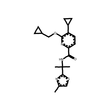 Cc1csc(C(C)(C)NC(=O)c2ccc(C3CC3)c(OCC3CC3)n2)n1